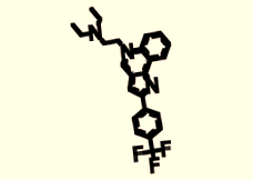 CCN(CC)CCn1cc2cc(-c3ccc(C(F)(F)F)cc3)nc-2c2ccccc21